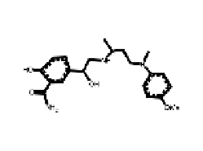 COc1ccc(N(C)CCC(C)NCC(O)c2ccc(O)c(C(N)=O)c2)cc1